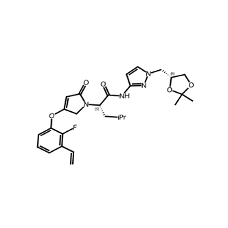 C=Cc1cccc(OC2=CC(=O)N([C@@H](CC(C)C)C(=O)Nc3ccn(C[C@@H]4COC(C)(C)O4)n3)C2)c1F